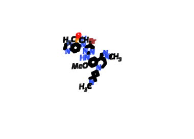 COc1cc2c(cc1Nc1ncc(Br)c(Nc3ccc4nccnc4c3P(C)(C)=O)n1)-c1cnn(C)c1CCN2C1CC2(C1)CN(C)C2